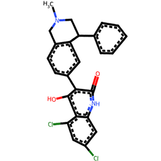 CN1Cc2ccc(-c3c(O)c4c(Cl)cc(Cl)cc4[nH]c3=O)cc2C(c2ccccc2)C1